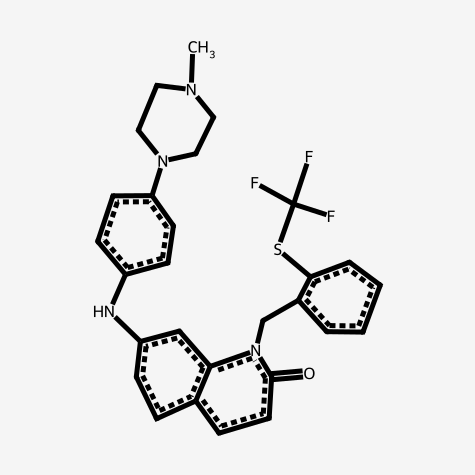 CN1CCN(c2ccc(Nc3ccc4ccc(=O)n(Cc5ccccc5SC(F)(F)F)c4c3)cc2)CC1